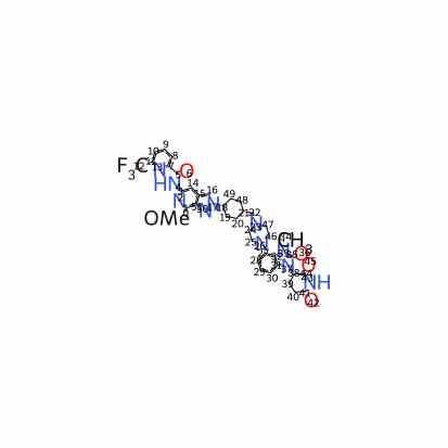 COc1nc(NC(=O)c2cccc(C(F)(F)F)n2)cc2cn([C@H]3CC[C@H](CN4CCN(c5cccc6c5n(C)c(=O)n6C5CCC(=O)NC5=O)CC4)CC3)nc12